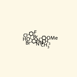 COc1ccc(Cn2c(N(C)C)nc3cc(Br)c(C(O)c4cc(F)ccc4Cl)c(Br)c32)cc1